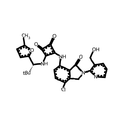 Cc1ccc([C@H](Nc2c(Nc3ccc(Cl)c4c3C(=O)N(c3ncccc3CO)C4)c(=O)c2=O)C(C)(C)C)o1